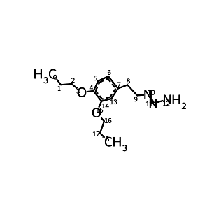 CCCOc1ccc(CCN=NN)cc1OCCC